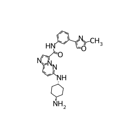 Cc1nc(-c2cccc(NC(=O)c3cnc4ccc(N[C@H]5CC[C@H](N)CC5)nn34)c2)co1